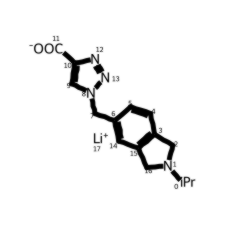 CC(C)N1Cc2ccc(Cn3cc(C(=O)[O-])nn3)cc2C1.[Li+]